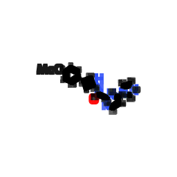 COc1ccc([C@H]2C[C@H](NC(=O)c3nccc(-n4ccnc4)n3)C2)cc1